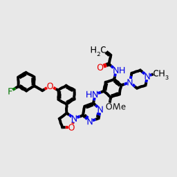 C=CC(=O)Nc1cc(Nc2cc(N3OCCC3c3cccc(OCc4cccc(F)c4)c3)ncn2)c(OC)cc1N1CCN(C)CC1